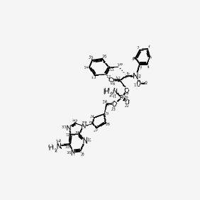 CON(c1ccccc1)[C@@H](Cc1ccccc1)C(=O)OP(N)(=O)OC[C@H]1C=C[C@@H](n2cnc3c(N)ncnc32)C1